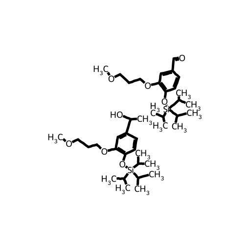 COCCCOc1cc(C(C)O)ccc1O[Si](C(C)C)(C(C)C)C(C)C.COCCCOc1cc(C=O)ccc1O[Si](C(C)C)(C(C)C)C(C)C